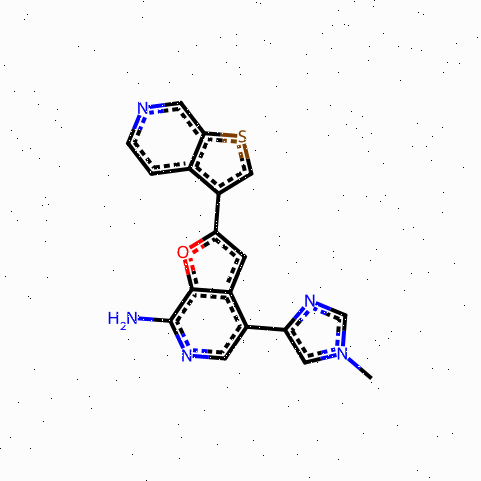 Cn1cnc(-c2cnc(N)c3oc(-c4csc5cnccc45)cc23)c1